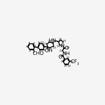 O=Cc1ccccc1-c1ccc(C2(O)CCC(NC3CCN(C(=O)CNC(=O)c4cccc(C(F)(F)F)c4)C3)CC2)cc1